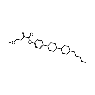 C=C(CCO)C(=O)Oc1ccc(C2CCC(C3CCC(CCCCC)CC3)CC2)cc1